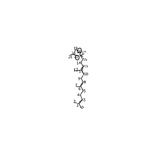 CC(C)=CCC/C(C)=C/CC/C(C)=C/CCC1(C)OCC(C)O1